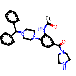 CCC(=O)Nc1cc(C(=O)N2CCNCC2)ccc1N1CCN(C(c2ccccc2)c2ccccc2)CC1